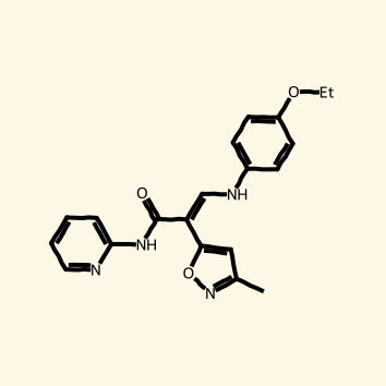 CCOc1ccc(NC=C(C(=O)Nc2ccccn2)c2cc(C)no2)cc1